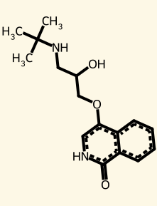 CC(C)(C)NCC(O)COc1c[nH]c(=O)c2ccccc12